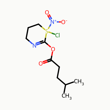 CC(C)CCC(=O)OC1=NCCCS1(Cl)[N+](=O)[O-]